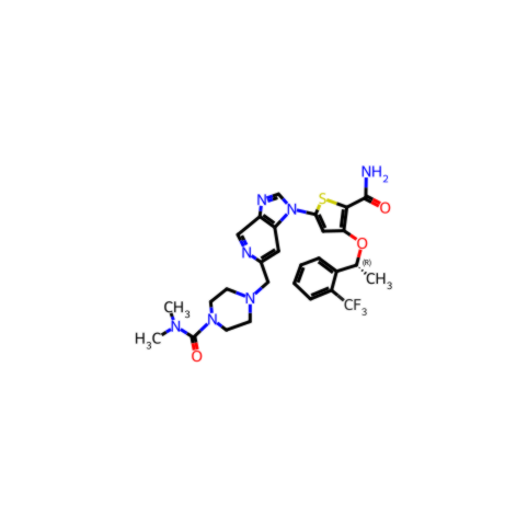 C[C@@H](Oc1cc(-n2cnc3cnc(CN4CCN(C(=O)N(C)C)CC4)cc32)sc1C(N)=O)c1ccccc1C(F)(F)F